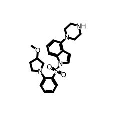 COC1CCN(c2ccccc2S(=O)(=O)n2ccc3c(N4CCNCC4)cccc32)C1